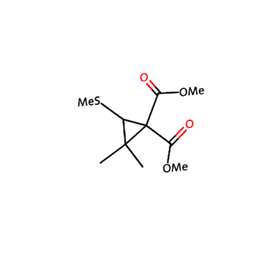 COC(=O)C1(C(=O)OC)C(SC)C1(C)C